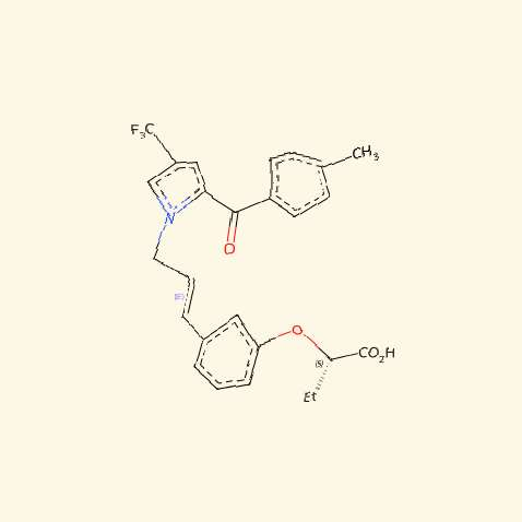 CC[C@H](Oc1cccc(/C=C/Cn2cc(C(F)(F)F)cc2C(=O)c2ccc(C)cc2)c1)C(=O)O